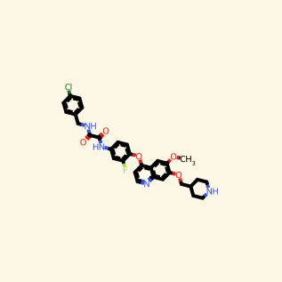 COc1cc2c(Oc3ccc(NC(=O)C(=O)NCc4ccc(Cl)cc4)cc3F)ccnc2cc1OCC1CCNCC1